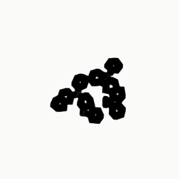 CC1(C)c2ccccc2-c2ccc3cc4c(cc3c21)c1cc(-c2cccc(N(c3ccc5ccccc5c3)c3ccc5c(c3)oc3ccccc35)c2)ccc1n4-c1ccccc1